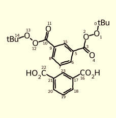 CC(C)(C)OOC(=O)c1cccc(C(=O)OOC(C)(C)C)c1.O=C(O)c1cccc(C(=O)O)c1